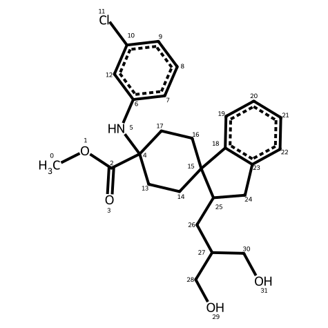 COC(=O)C1(Nc2cccc(Cl)c2)CCC2(CC1)c1ccccc1CC2CC(CO)CO